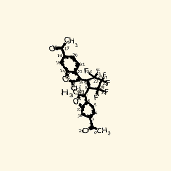 CC(=O)c1ccc2c(C3=C(c4c(C)oc5cc(C(C)=O)ccc45)C(F)(F)C(F)(F)C3(F)F)c(C)oc2c1